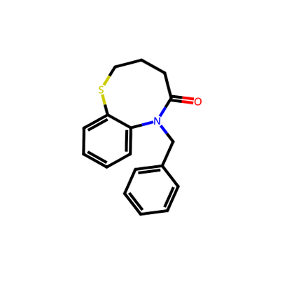 O=C1CCCSc2ccccc2N1Cc1ccccc1